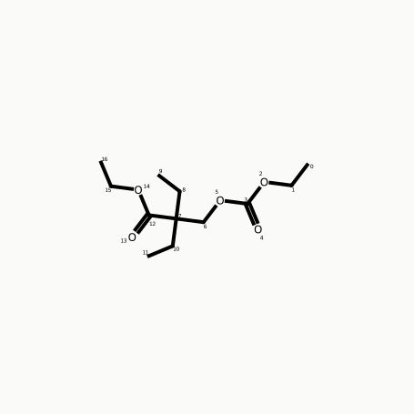 CCOC(=O)OCC(CC)(CC)C(=O)OCC